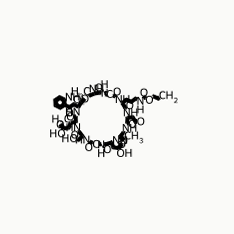 C=CCOC(=O)NCCCC1NC(=O)CNC(=O)C(N)C(C)OC(=O)C(CC(=O)c2ccccc2N)NC(=O)C(C(C)CC(=O)O)NC(=O)C(CO)NC(=O)CNC(=O)C(CC(=O)O)NC(=O)C(C)NC(=O)C(CC=O)NC1=O